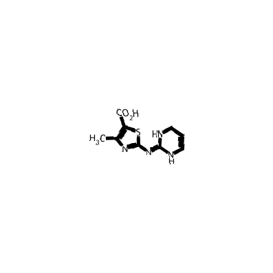 Cc1nc(N=C2NC=CCN2)sc1C(=O)O